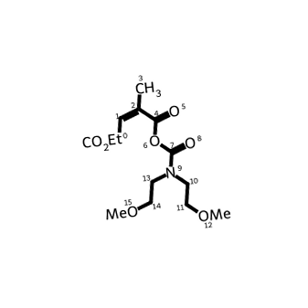 CCOC(=O)C=C(C)C(=O)OC(=O)N(CCOC)CCOC